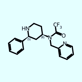 O=C(N(Cc1ccccn1)[C@@H]1CCN[C@H](c2ccccc2)C1)C(F)(F)F